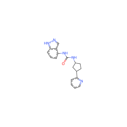 O=C(Nc1cccc2[nH]ncc12)NC1CCC(c2ccccn2)C1